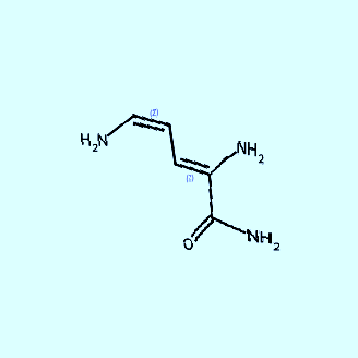 N/C=C\C=C(/N)C(N)=O